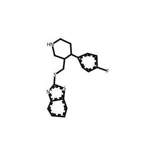 Fc1ccc(C2CCNCC2CSc2nc3ccccc3s2)cc1